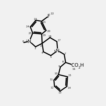 CN1CC2(CCN(CC(Cc3ccccc3)C(=O)O)CC2)c2cc(F)ccc21